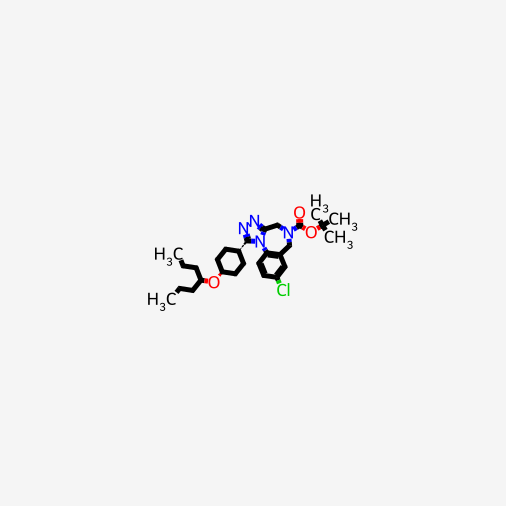 CCCC(CCC)O[C@H]1CC[C@H](c2nnc3n2-c2ccc(Cl)cc2CN(C(=O)OC(C)(C)C)C3)CC1